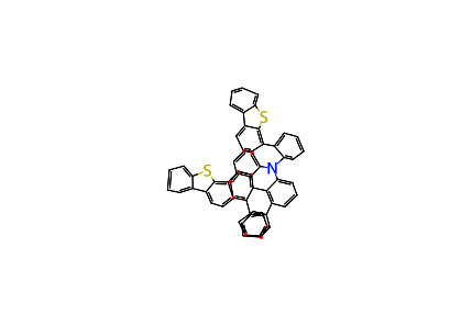 c1ccc(-c2ccccc2-c2c(-c3ccccc3)cccc2N(c2cccc(-c3cccc4c3sc3ccccc34)c2)c2ccccc2-c2cccc3c2sc2ccccc23)cc1